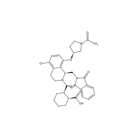 CC(=O)N1CC[C@H](Oc2ccc(Cl)c3c2[C@@H](CN2C(=O)c4ccccc4C2=O)N(C(=O)[C@@H]2CCCC[C@@H]2C(=O)O)CC3)C1